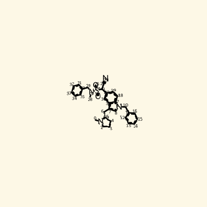 CN1CCC[C@@H]1Cc1cn(Cc2ccccc2)c2ccc(C(C#N)S(=O)(=O)N(C)Cc3ccccc3)cc12